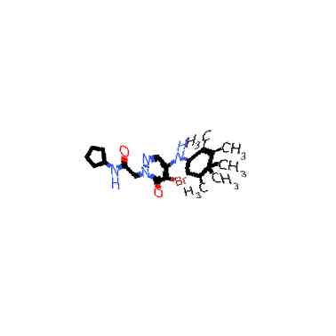 C[C@@H]1[C@@H](C)C(C)(C)[C@@H](C)C[C@H]1Nc1cnn(CC(=O)NC2CCCC2)c(=O)c1Br